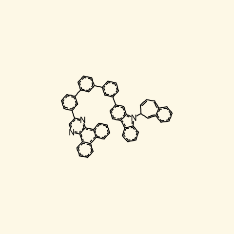 C1=CC(n2c3ccccc3c3ccc(-c4cccc(-c5cccc(-c6cccc(-c7cnc8c9ccccc9c9ccccc9c8n7)c6)c5)c4)cc32)C=c2ccccc2=C1